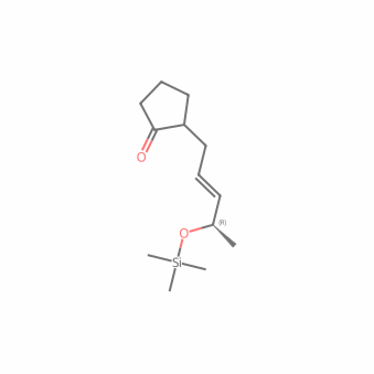 C[C@H](C=CCC1CCCC1=O)O[Si](C)(C)C